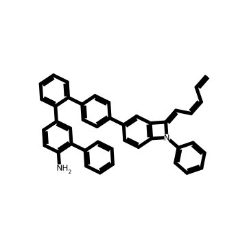 C=C/C=C\C=C1\c2cc(-c3ccc(-c4ccccc4-c4ccc(N)c(-c5ccccc5)c4)cc3)ccc2N1c1ccccc1